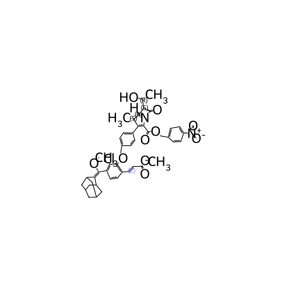 COC(=O)/C=C/c1ccc(C(OC)=C2C3CC4CC(C3)CC2C4)c(Cl)c1OCc1ccc(C2=C(C(=O)OCc3ccc([N+](=O)[O-])cc3)N3C(=O)[C@H]([C@@H](C)O)[C@H]3[C@H]2C)cc1